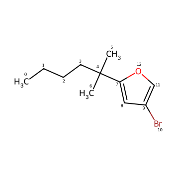 CCCCC(C)(C)c1cc(Br)co1